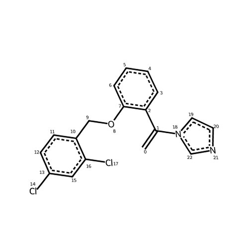 C=C(c1ccccc1OCc1ccc(Cl)cc1Cl)n1ccnc1